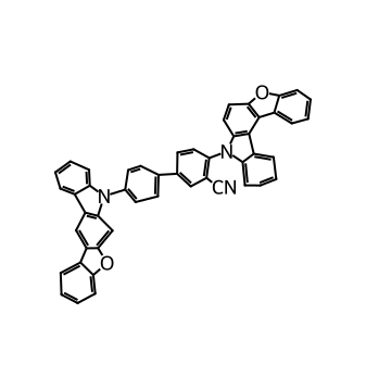 N#Cc1cc(-c2ccc(-n3c4ccccc4c4cc5c(cc43)oc3ccccc35)cc2)ccc1-n1c2ccccc2c2c3c(ccc21)oc1ccccc13